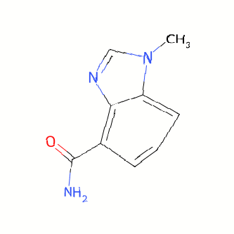 Cn1cnc2c(C(N)=O)cccc21